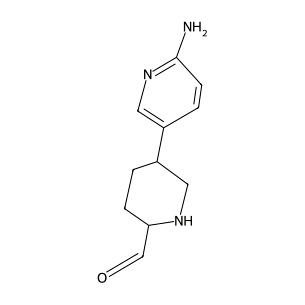 Nc1ccc(C2CCC(C=O)NC2)cn1